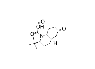 C=O.CC(C)(C)[C@@H]1CC[C@@H]2CC(=O)CCC2N1C(=O)O